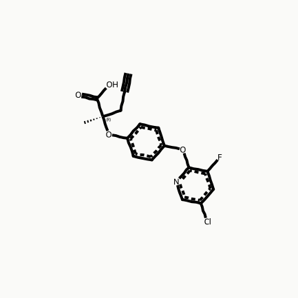 C#CC[C@@](C)(Oc1ccc(Oc2ncc(Cl)cc2F)cc1)C(=O)O